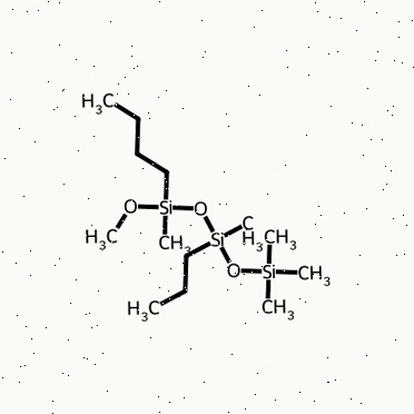 CCCC[Si](C)(OC)O[Si](C)(CCC)O[Si](C)(C)C